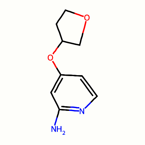 Nc1cc(OC2CCOC2)ccn1